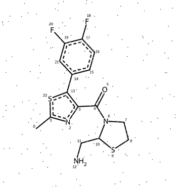 Cc1nc(C(=O)N2CCSC2CN)c(-c2ccc(F)c(F)c2)s1